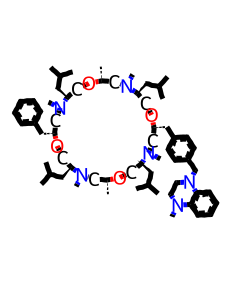 CC(C)C[C@H]1CO[C@H](C)CN(C)[C@@H](CC(C)C)CO[C@H](Cc2ccccc2)CN(C)[C@@H](CC(C)C)CO[C@H](C)CN(C)[C@@H](CC(C)C)CO[C@H](Cc2ccc(CN3CCN(C)c4ccccc43)cc2)CN1C